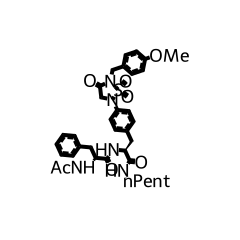 CCCCCNC(=O)[C@H](Cc1ccc(N2CC(=O)N(Cc3ccc(OC)cc3)S2(=O)=O)cc1)NC(=O)[C@H](Cc1ccccc1)NC(C)=O